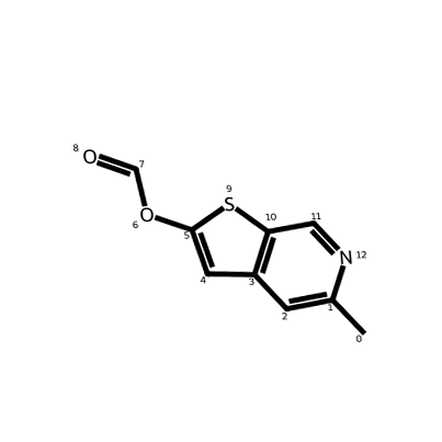 Cc1cc2cc(OC=O)sc2cn1